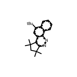 CC(C)(C)c1cc2c3c(nnc2c2ccccc12)C(C)(C)CC3(C)C